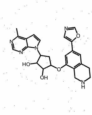 Cc1ncnc2c1ccn2C1CC(Oc2cc(-c3cnco3)cc3c2CNCC3)C(O)C1O